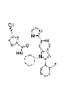 C#Cc1cnc(C(=O)N[C@H]2CCC[C@@H](n3c(-c4ccccc4F)nc4cnc(-c5ncco5)cc43)C2)s1